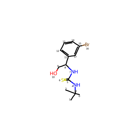 CC(C)(C)NC(=S)NC(CO)c1cccc(Br)c1